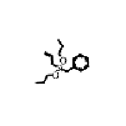 C=CC[Si](Cc1ccccc1)(OCCC)OCCC